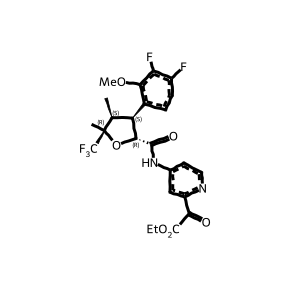 CCOC(=O)C(=O)c1cc(NC(=O)[C@@H]2O[C@@](C)(C(F)(F)F)[C@@H](C)[C@H]2c2ccc(F)c(F)c2OC)ccn1